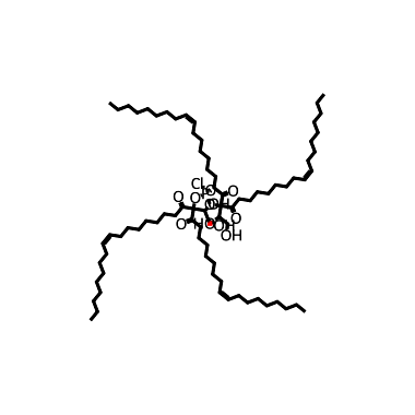 CCCCCCCC/C=C\CCCCCCCC(=O)C(OP(=O)(Cl)OC(C(=O)CCCCCCC/C=C\CCCCCCCC)(C(=O)CCCCCCC/C=C\CCCCCCCC)C(O)CO)(C(=O)CCCCCCC/C=C\CCCCCCCC)C(O)CO